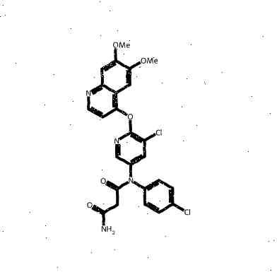 COc1cc2nccc(Oc3ncc(N(C(=O)CC(N)=O)c4ccc(Cl)cc4)cc3Cl)c2cc1OC